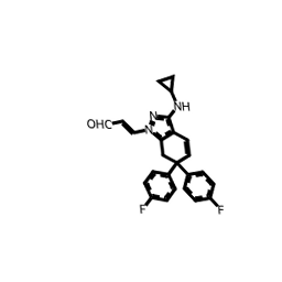 O=CC=Cn1nc(NC2CC2)c2c1CC(c1ccc(F)cc1)(c1ccc(F)cc1)C=C2